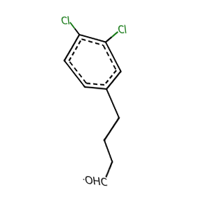 O=[C]CCCc1ccc(Cl)c(Cl)c1